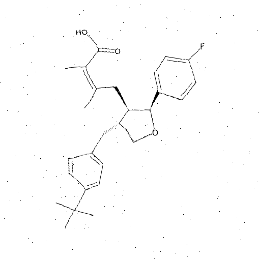 C/C(C[C@@H]1[C@@H](Cc2ccc(C(C)(C)C)cc2)CO[C@@H]1c1ccc(F)cc1)=C(\C)C(=O)O